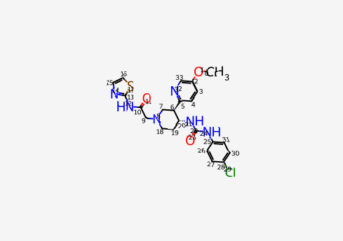 COc1ccc([C@@H]2CN(CC(=O)Nc3nccs3)CC[C@H]2NC(=O)Nc2ccc(Cl)cc2)nc1